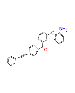 Nc1ccccc1Oc1cccc(C(=O)c2ccc(C#Cc3ccccc3)cc2)c1